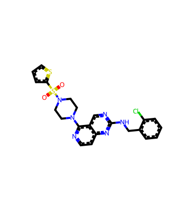 O=S(=O)(c1cccs1)N1CCN(c2nccc3nc(NCc4ccccc4Cl)ncc23)CC1